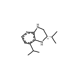 CC(C)c1ccnc2c1N[C@@H](C(C)C)CN2